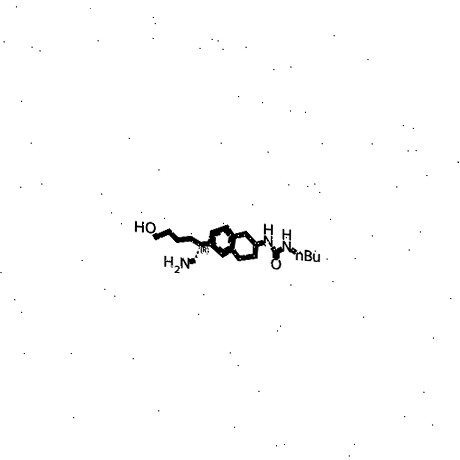 CCCCNC(=O)NC1CCc2cc([C@H](CN)CCCCO)ccc2C1